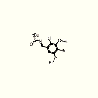 CCOc1cc(/C=N/[S@@+]([O-])C(C)(C)C)c(Cl)c(OCC)c1Br